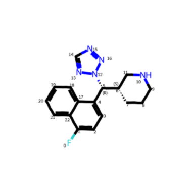 Fc1ccc([C@@H]([C@H]2CCCNC2)n2ncnn2)c2ccccc12